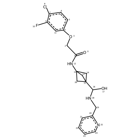 O=C(COc1ccc(Cl)c(F)c1)NC12CC(C(O)NCc3ccccn3)(C1)C2